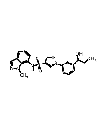 CCC(O)c1ccnc(-n2cc(S(=O)(=O)Nc3cccc4cnn(C)c34)cn2)c1